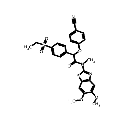 CCS(=O)(=O)c1ccc(C(Oc2ccc(C#N)cc2)C(=O)N(C)c2nc3cc(OC)c(OC)cc3s2)cc1